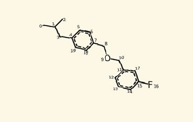 CC(C)Cc1ccc(COCc2cccc(F)c2)cc1